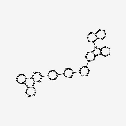 c1cc(-c2ccc(-c3ccc(-c4cnc5c6ccccc6c6ccccc6c5n4)cc3)cc2)cc(-c2ccc3c(c2)c2ccccc2n3-c2cccc3ccccc23)c1